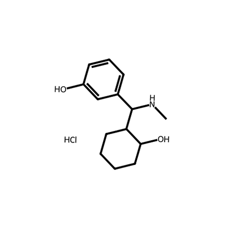 CNC(c1cccc(O)c1)C1CCCCC1O.Cl